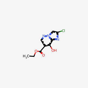 CCOC(=O)c1cnn2cc(Cl)nc2c1O